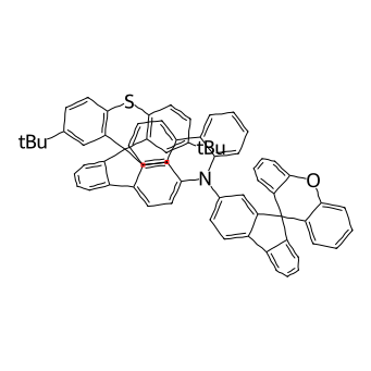 CC(C)(C)c1ccc2c(c1)C1(c3cc(C(C)(C)C)ccc3S2)c2ccccc2-c2ccc(N(c3ccc4c(c3)C3(c5ccccc5Oc5ccccc53)c3ccccc3-4)c3ccccc3-c3ccccc3)cc21